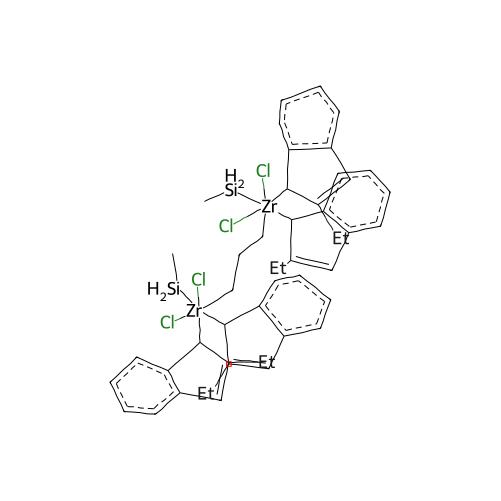 CCC1=Cc2ccccc2[CH]1[Zr]([Cl])([Cl])([CH2]C[CH2][Zr]([Cl])([Cl])([SiH2]C)([CH]1C(CC)=Cc2ccccc21)[CH]1C(CC)=Cc2ccccc21)([SiH2]C)[CH]1C(CC)=Cc2ccccc21